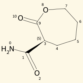 NC(=O)[C@@H]1CCCCOC1=O